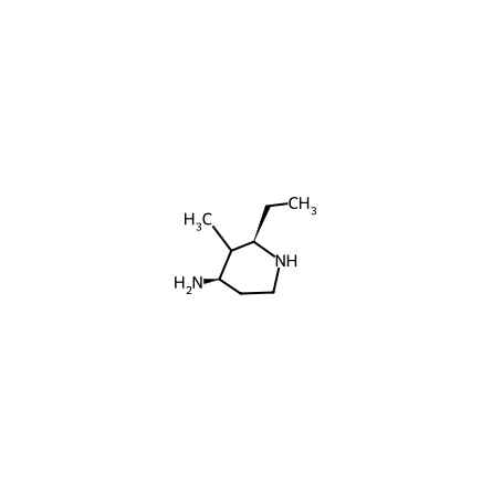 CC[C@H]1NCC[C@@H](N)C1C